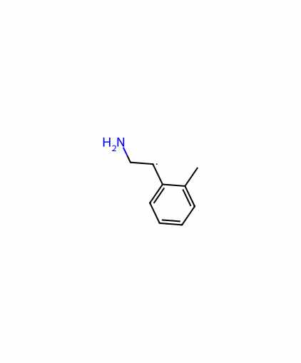 Cc1ccccc1[CH]CN